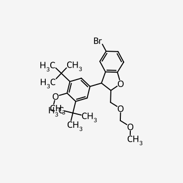 COCOCC1Oc2ccc(Br)cc2C1c1cc(C(C)(C)C)c(OC)c(C(C)(C)C)c1